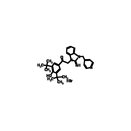 Br.CC(C)(C)c1cc(C(=O)Cn2c(=N)n(Cc3ccncc3)c3ccccc32)cc(C(C)(C)C)c1O